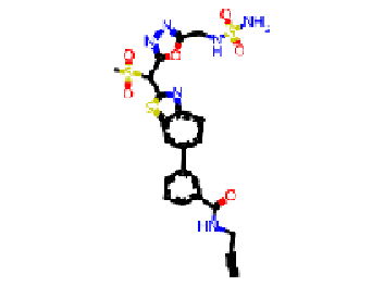 C#CCNC(=O)c1cccc(-c2ccc3nc(C(c4nnc(CNS(N)(=O)=O)o4)S(C)(=O)=O)sc3c2)c1